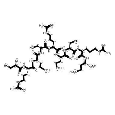 N=C(N)NCCC[C@H](NC(=O)[C@H](CO)NC(=O)[C@H](CCC(=O)O)NC(=O)[C@H](CCCNC(=N)N)NC(=O)[C@H](CO)NC(=O)[C@H](CCC(=O)O)NC(=O)[C@H](CCCNC(=N)N)NC(=O)[C@@H](N)CO)C(=O)N[C@@H](CCC(=O)O)C(=O)O